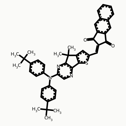 CC(C)(C)c1ccc(N(c2ccc(C(C)(C)C)cc2)c2cnc3c(n2)C(C)(C)c2cc(C=C4C(=O)c5cc6ccccc6cc5C4=O)sc2-3)cc1